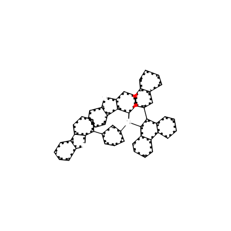 c1cc(-c2cccc3c2oc2ccccc23)cc(N(c2c(-c3ccc4ccccc4c3)c3ccccc3c3ccccc23)c2cccc3oc4ccccc4c23)c1